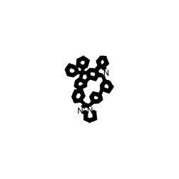 c1ccc(-c2nc3ccccn3c2-c2ccc(-c3cccc(-c4nc5ccccc5c5cc6c(cc45)-c4ccccc4C6(c4ccccc4)c4ccccc4)c3)cc2)cc1